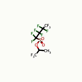 CC(OS(=O)(=O)C(F)(F)C(F)(F)C(F)(F)C(F)(F)F)C(F)(F)F